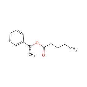 [CH2]CCCC(=O)O[SiH](C)c1ccccc1